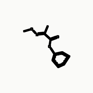 CON=C(C)C(=O)Oc1ccccc1